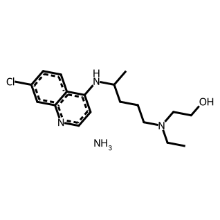 CCN(CCO)CCCC(C)Nc1ccnc2cc(Cl)ccc12.N